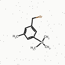 Cc1cc(CBr)cc([Si](C)(C)C)c1